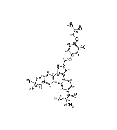 Cc1cc(OCc2nc(-c3ccc(C(=O)N(C)C)cc3)c(-c3ccc(OC(F)(F)F)cc3)s2)ccc1OCC(=O)O